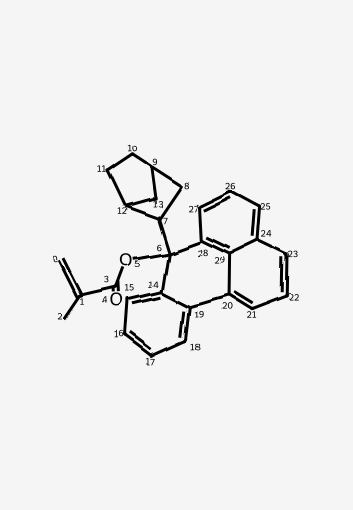 C=C(C)C(=O)OC1(C2CC3CCC2C3)c2ccccc2-c2cccc3cccc1c23